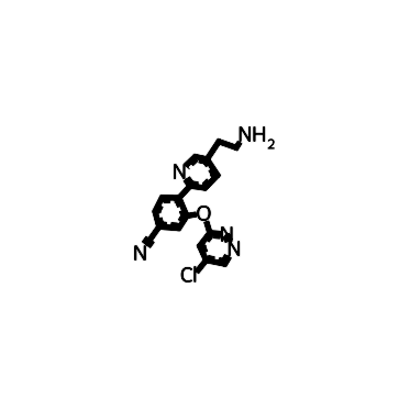 N#Cc1ccc(-c2ccc(CCN)cn2)c(Oc2cc(Cl)cnn2)c1